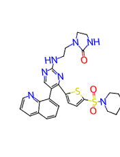 O=C1NCCN1CCNc1ncc(-c2cccc3cccnc23)c(-c2ccc(S(=O)(=O)N3CCCCC3)s2)n1